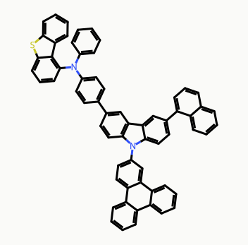 c1ccc(N(c2ccc(-c3ccc4c(c3)c3cc(-c5cccc6ccccc56)ccc3n4-c3ccc4c5ccccc5c5ccccc5c4c3)cc2)c2cccc3sc4ccccc4c23)cc1